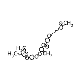 C=CC(=O)OCCCCCCOC1CCC(C(=O)OC2CCC(OCOC3CCC(OC(CCCCC)OC(=O)C=C)CC3)C(C)C2)CC1